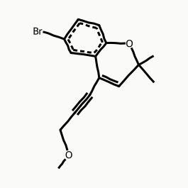 COCC#CC1=CC(C)(C)Oc2ccc(Br)cc21